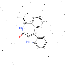 CC[C@@H]1NC(=O)c2[nH]c3ccccc3c2-c2ccccc21